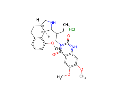 CCC(Cn1c(=O)[nH]c2cc(OC)c(OC)cc2c1=O)C1NC[C@@H]2CCc3cccc(OC)c3[C@H]12.Cl